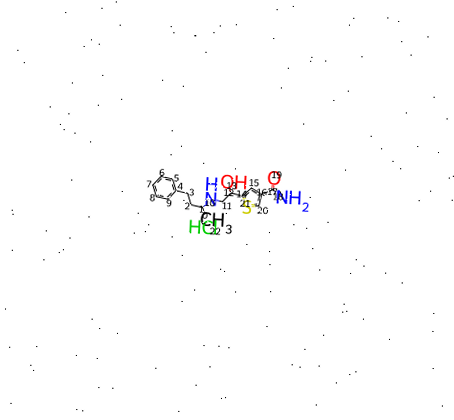 CC(CCc1ccccc1)NCC(O)c1cc(C(N)=O)cs1.Cl